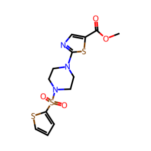 COC(=O)c1cnc(N2CCN(S(=O)(=O)c3cccs3)CC2)s1